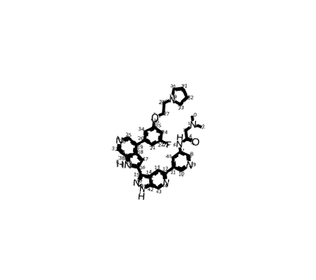 CN(C)CC(=O)Nc1cncc(-c2cc3c(-c4cc5c(-c6cc(F)cc(OCCN7CCCC7)c6)cncc5[nH]4)n[nH]c3cn2)c1